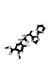 COC(=O)c1cc(NC(=O)NC(C)c2ncnn2-c2ncccn2)c(F)cc1OC